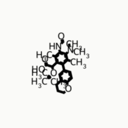 Cc1c(NC=O)c(N(C)C)c(C)c(-c2ccc3c(c2)CCCO3)c1C(OC(C)(C)C)C(=O)O